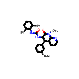 CCCCCCCCCCn1c(=O)c(NC(=O)Nc2c(C(C)C)cccc2C(C)C)c(-c2cccc(OC)c2)c2cccnc21